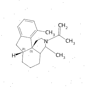 C=C(C)N1CC[C@]23c4c(C)cccc4C[C@H]2CCCC3C1C